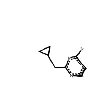 Brc1c[c]nc(CC2CC2)n1